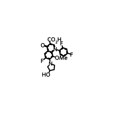 COc1c(N2CCC(O)C2)c(F)cc2c(=O)c(C(=O)O)cn(-c3ccc(F)cc3F)c12